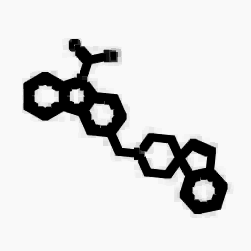 CCC(=O)n1c2ccccc2c2cc(CN3CCC4(C=Cc5ccccc54)CC3)ccc21